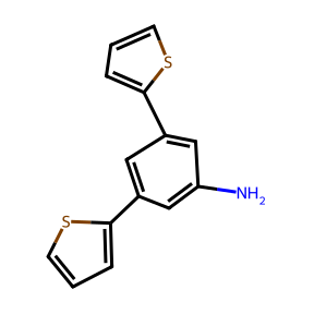 Nc1cc(-c2cccs2)cc(-c2cccs2)c1